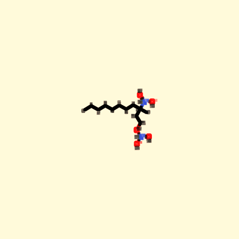 CCCCCCCCC(C)(CCO[N+](=O)[O-])[N+](=O)[O-]